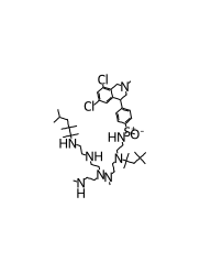 CNCCN(CCNCCNC(C)(C)C(C)(C)CC(C)C)N(C)CCN(CCN[S+]([O-])c1ccc(C2CN(C)Cc3c(Cl)cc(Cl)cc32)cc1)C(C)(C)CC(C)(C)C